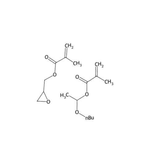 C=C(C)C(=O)OC(C)OCCCC.C=C(C)C(=O)OCC1CO1